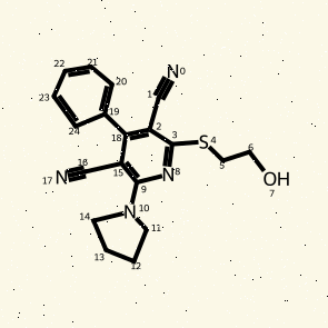 N#Cc1c(SCCO)nc(N2CCCC2)c(C#N)c1-c1ccccc1